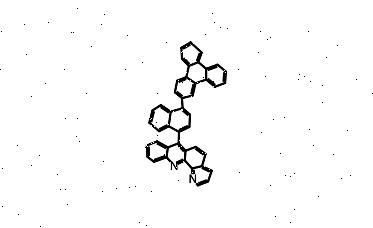 c1cnc2c(c1)ccc1c(-c3ccc(-c4ccc5c6ccccc6c6ccccc6c5c4)c4ccccc34)c3ccccc3nc12